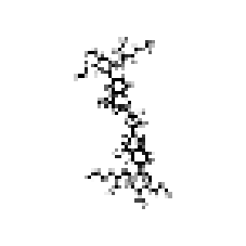 CCCCC(CC)CN(CC(CC)CCCC)C(=O)c1ccc2nc(-c3ccc(-c4nc5ccc(C(=O)N(CC(CC)CCCC)CC(CC)CCCC)cc5c(=O)o4)s3)oc(=O)c2c1